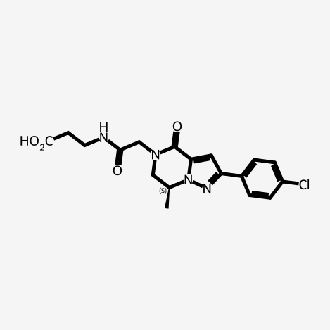 C[C@H]1CN(CC(=O)NCCC(=O)O)C(=O)c2cc(-c3ccc(Cl)cc3)nn21